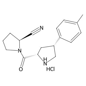 Cc1ccc([C@@H]2CN[C@H](C(=O)N3CCC[C@H]3C#N)C2)cc1.Cl